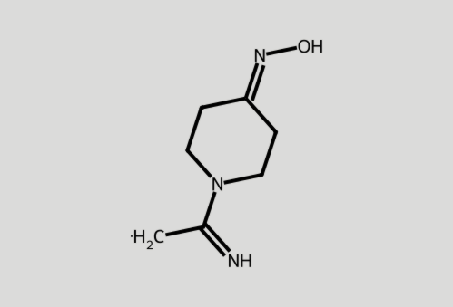 [CH2]C(=N)N1CCC(=NO)CC1